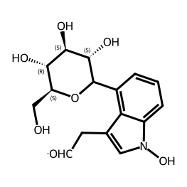 O=[C]Cc1cn(O)c2cccc(C3O[C@@H](CO)[C@H](O)[C@@H](O)[C@@H]3O)c12